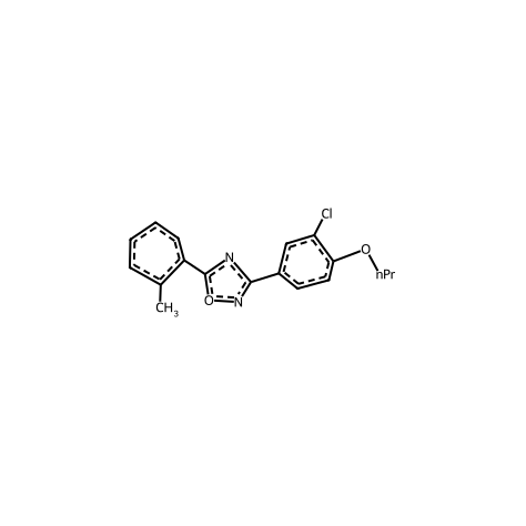 CCCOc1ccc(-c2noc(-c3ccccc3C)n2)cc1Cl